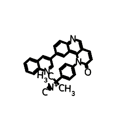 [C-]#[N+]C(C)(C)c1ccc(-n2c(=O)ccc3cnc4ccc(-c5cnc6ccccc6c5)cc4c32)cc1